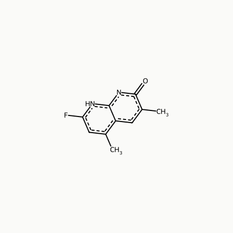 Cc1cc(F)[nH]c2nc(=O)c(C)cc1-2